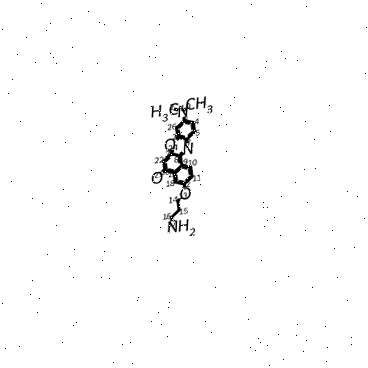 CN(C)c1ccc2nc3c4ccc(OCCCN)cc4c(=O)cc-3oc2c1